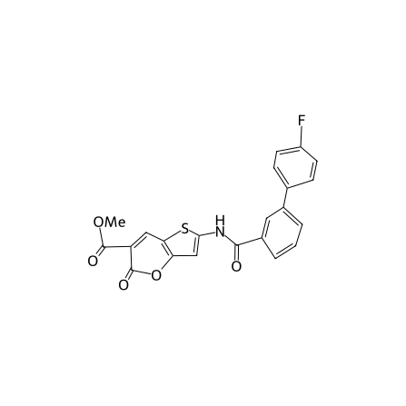 COC(=O)c1cc2sc(NC(=O)c3cccc(-c4ccc(F)cc4)c3)cc2oc1=O